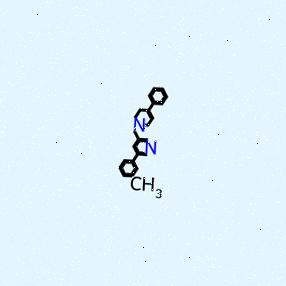 Cc1cccc(-c2cncc(CN3CC=C(c4ccccc4)CC3)c2)c1